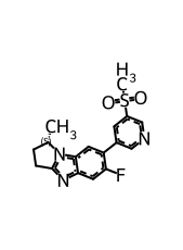 C[C@H]1CCc2nc3cc(F)c(-c4cncc(S(C)(=O)=O)c4)cc3n21